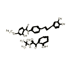 CC(C)(C)NC(=O)C(=O)c1ccccc1O.COc1ccc(C(=O)Nc2ccc(CCc3ccc(O)c(O)c3)cc2)c(O)c1